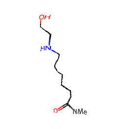 CNC(=O)CCCCCNCCO